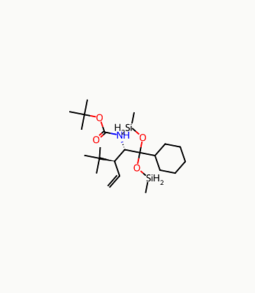 C=C[C@H]([C@H](NC(=O)OC(C)(C)C)C(O[SiH2]C)(O[SiH2]C)C1CCCCC1)C(C)(C)C